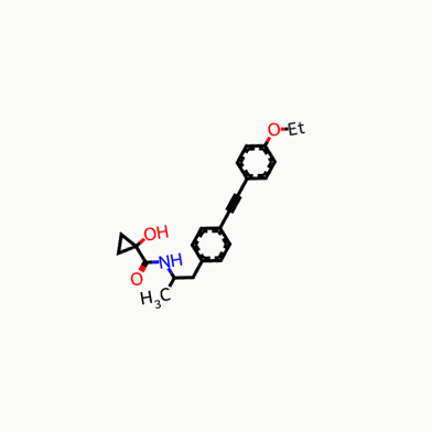 CCOc1ccc(C#Cc2ccc(CC(C)NC(=O)C3(O)CC3)cc2)cc1